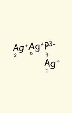 [Ag+].[Ag+].[Ag+].[P-3]